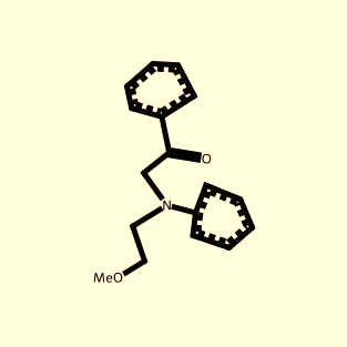 COCCN(CC(=O)c1ccccc1)c1ccccc1